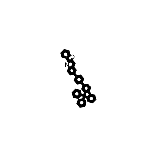 c1ccc(C2(c3ccccc3)c3ccccc3-c3ccc(-c4ccc(-c5ccc6nc7c(cc6c5)oc5ccccc57)cc4)cc32)cc1